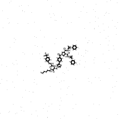 CCCCCCNC(=O)[C@H](Cn1cc(-c2ccc(C(=O)N3C[C@@H](C(=O)N[C@H]4C[C@@H]4c4ccccc4)[C@H](C(=O)N[C@H]4C[C@@H]4c4ccccc4)C3)cc2)nn1)NC(=O)NCc1ccc(C(F)(F)F)cc1